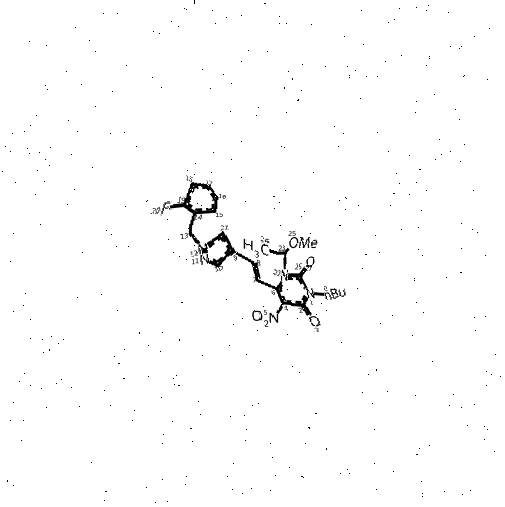 CCCCn1c(=O)c([N+](=O)[O-])c(C=Cc2cnn(Cc3ccccc3F)c2)n(C(C)OC)c1=O